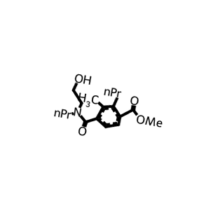 CCCc1c(C(=O)OC)ccc(C(=O)N(CCC)CCO)c1C